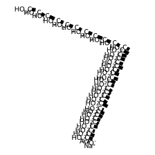 CC(=O)O.CC(=O)O.CC(=O)O.CC(=O)O.CC(=O)O.CC(=O)O.CC(=O)O.CC(=O)O.CC(=O)O.CC(=O)O.CC(=O)O.CC(=O)O.CC(=O)O.CC(=O)O.CC(=O)O.CC(=O)O.CC(=O)O.CC(=O)O.CC(=O)O.CC(=O)O.CC(=O)O.CC(=O)O.CC(=O)O.CC(=O)O.CC(=O)O.CC(=O)O.CC(=O)O.CC(=O)O.CC(=O)O.CC(=O)O.CC(=O)O.CC(=O)O.CC(=O)O.CC(=O)O.CC(=O)O.CC(=O)[O-].[Na+]